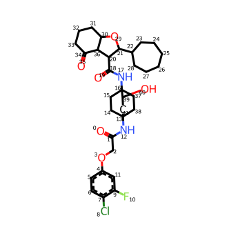 O=C(COc1ccc(Cl)c(F)c1)NC12CCC(NC(=O)C3C(C4CCCCCC4)OC4CCCC(=O)C43)(CC1)C(O)C2